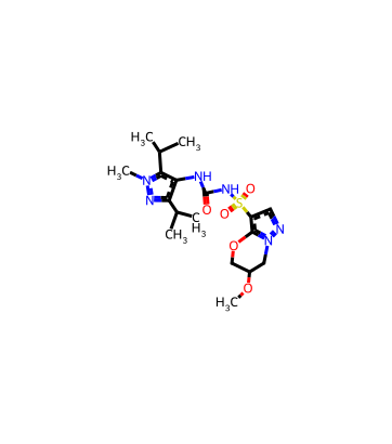 COC1COc2c(S(=O)(=O)NC(=O)Nc3c(C(C)C)nn(C)c3C(C)C)cnn2C1